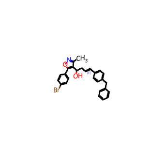 Cc1noc(-c2ccc(Br)cc2)c1C(O)C/C=C/c1ccc(Cc2ccccc2)cc1